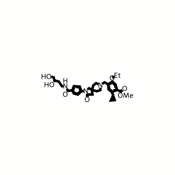 CCOc1cc(C(=O)OC)c(C2CC2)cc1CN1CCC2(CC1)CC(=O)N(c1ccc(C(=O)NCCC(O)CO)cc1)C2